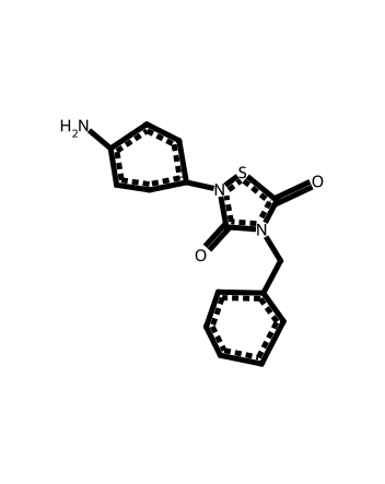 Nc1ccc(-n2sc(=O)n(Cc3ccccc3)c2=O)cc1